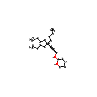 CCC[CH2][Sn]([C]#CCOC1CCCCO1)([CH2]CCC)[CH2]CCC